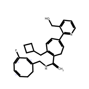 C=C(NC/C1=C/C(F)=C\C=C/CC1)C1=C(CC2CCC2)C=CC(c2ncccc2CO)=CC1